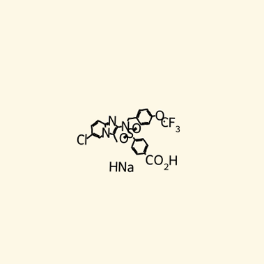 Cc1c(N(Cc2ccc(OC(F)(F)F)cc2)S(=O)(=O)c2ccc(C(=O)O)cc2)nc2ccc(Cl)cn12.[NaH]